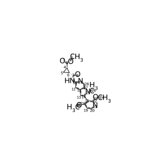 COC(=O)[C@@H]1C[C@H]1C(=O)Nc1cc2cc(-c3c(OC)ccnc3OC)n(C)c2cn1